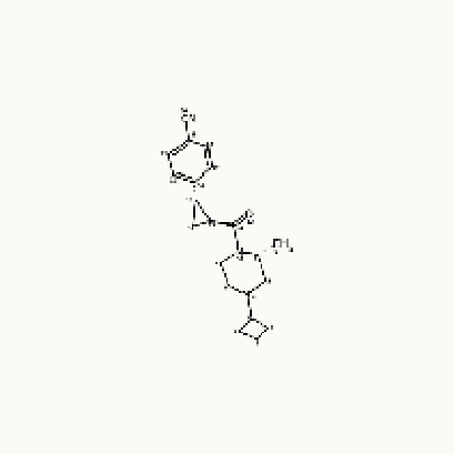 C[C@@H]1CN(C2CCC2)CCN1C(=O)[C@H]1C[C@@H]1c1ccc(C#N)cc1